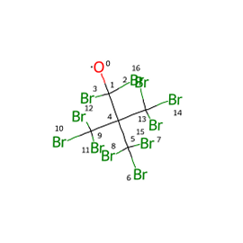 [O]C(Br)(Br)C(C(Br)(Br)Br)(C(Br)(Br)Br)C(Br)(Br)Br